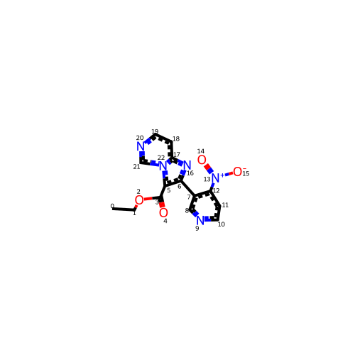 CCOC(=O)c1c(-c2cnccc2[N+](=O)[O-])nc2ccncn12